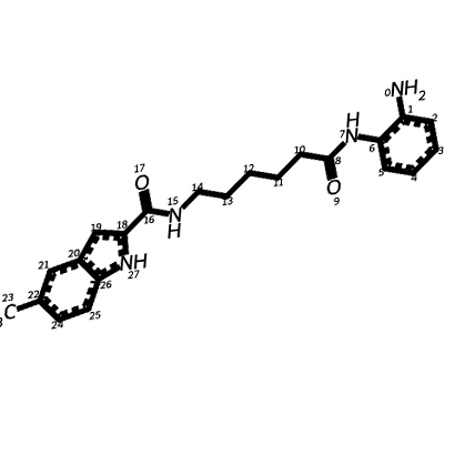 Nc1ccccc1NC(=O)CCCCCNC(=O)c1cc2cc(C(F)(F)F)ccc2[nH]1